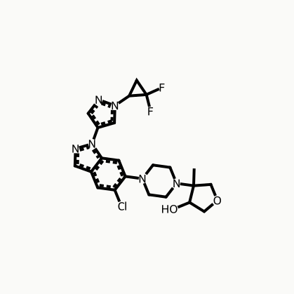 CC1(N2CCN(c3cc4c(cnn4-c4cnn(C5CC5(F)F)c4)cc3Cl)CC2)COCC1O